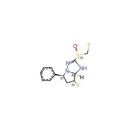 [O-][S@@+](CF)C1=NN2[C@H](c3ccccc3)C[C@H](F)[C@@H]2N1